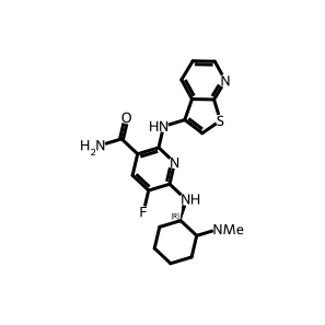 CNC1CCCC[C@H]1Nc1nc(Nc2csc3ncccc23)c(C(N)=O)cc1F